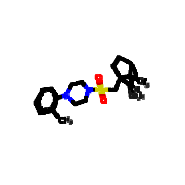 Cc1ccccc1N1CCN(S(=O)(=O)CC23CCC(CC2C(=O)O)C3(C)C)CC1